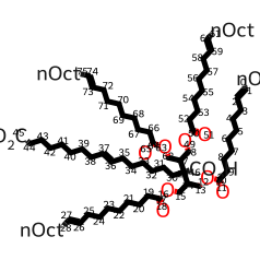 CCCCCCCCC=CCCCCCCCC(=O)OCC(COC(=O)CCCCCCCC=CCCCCCCCC)C(CCCCCCC=CCCCCCCCC(=O)O)(C(=O)O)C(COC(=O)CCCCCCCC=CCCCCCCCC)COC(=O)CCCCCCCC=CCCCCCCCC